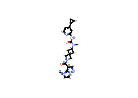 CN(C(=O)Nc1cc(C2CC2)ccn1)C1CC2(C1)CN(C(=O)c1cnn3ccn(C)c13)C2